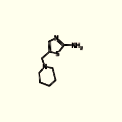 Nc1ncc(CN2CCCCC2)s1